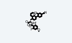 COc1cc(F)c(C(=O)N[C@@H](Cc2ccc(-c3ccc(C#N)cc3Cl)c3ncccc23)C(=O)O)c(F)c1